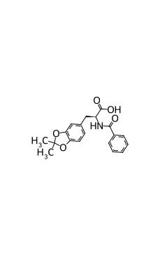 CC1(C)Oc2ccc(C[C@H](NC(=O)c3ccccc3)C(=O)O)cc2O1